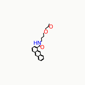 O=C(NCCCCOCC1CO1)c1cccc2cc3ccccc3cc12